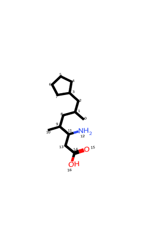 CC(CC1CCCC1)CC(C)C(N)CC(=O)O